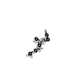 Cc1ccccc1CN1Cc2cc3c(cc2C[C@H]1C(=O)NC(Cc1cccc(-c2ccc(C#N)cc2)c1)C(=O)O)NC(=O)[C@H](c1ccc(OCc2ccc(Cl)c(Cl)c2)cc1)O3